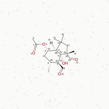 CC(=O)O[C@H]1C[C@@H](C)[C@H](C=O)[C@@]2(O)[C@@H]1C(C)(C)C[C@]2(C)C=O